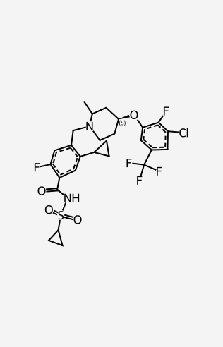 CC1C[C@@H](Oc2cc(C(F)(F)F)cc(Cl)c2F)CCN1Cc1cc(F)c(C(=O)NS(=O)(=O)C2CC2)cc1C1CC1